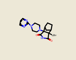 CCCCC12C(=O)NC(=O)C1(N1CCN(c3ncccn3)CC1)C1CCC2C1